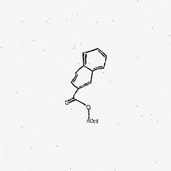 CCCCCCCCOC(=O)c1[c]c2ccccc2cc1